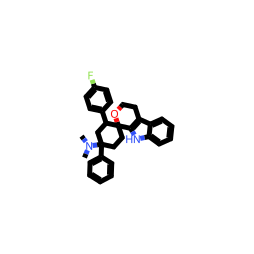 CN(C)C1(c2ccccc2)CCC2(OCCc3c2[nH]c2ccccc32)C(c2ccc(F)cc2)C1